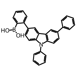 OB(O)c1ccccc1-c1ccc2c(c1)c1cc(-c3ccccc3)ccc1n2-c1ccccc1